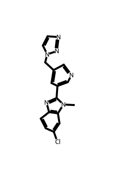 Cn1c(-c2cncc(Cn3ccnn3)c2)nc2ccc(Cl)cc21